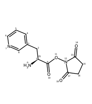 N[C@@H](Cc1cccnc1)C(=O)ON1C(=O)CCC1=O